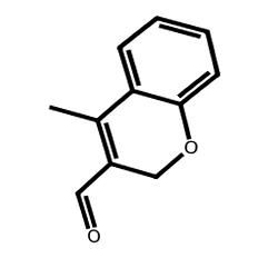 CC1=C(C=O)COc2ccccc21